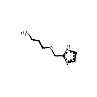 CCCCOCc1ncc[nH]1